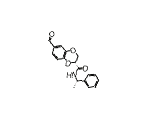 C[C@H](NC(=O)[C@H]1COc2cc(C=O)ccc2O1)c1ccccc1